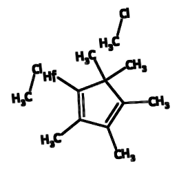 CC1=C(C)C(C)(C)[C]([Hf])=C1C.CCl.CCl